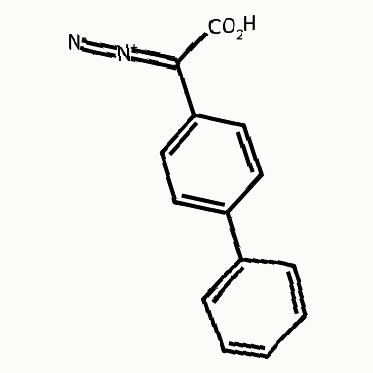 [N-]=[N+]=C(C(=O)O)c1ccc(-c2ccccc2)cc1